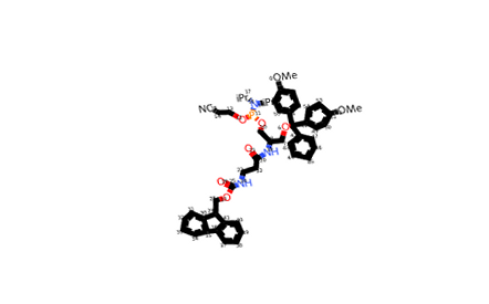 COc1ccc(C(OCC(COP(OCCC#N)N(C(C)C)C(C)C)NC(=O)CCNC(=O)OCC2c3ccccc3-c3ccccc32)(c2ccccc2)c2ccc(OC)cc2)cc1